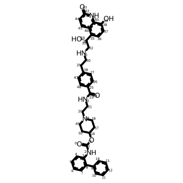 O=C(Nc1ccccc1-c1ccccc1)OC1CCN(CCNC(=O)c2ccc(CCNC[C@H](O)c3ccc(O)c4[nH]c(=O)ccc34)cc2)CC1